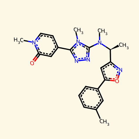 Cc1cccc(-c2cc([C@H](C)N(C)c3nnc(-c4ccn(C)c(=O)c4)n3C)no2)c1